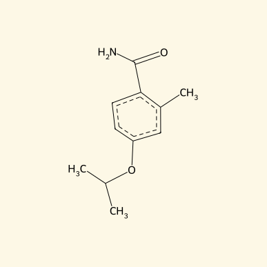 Cc1cc(OC(C)C)ccc1C(N)=O